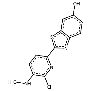 CNc1ccc(-c2nc3ccc(O)cc3s2)nc1Cl